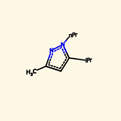 CCCn1nc(C)cc1C(C)C